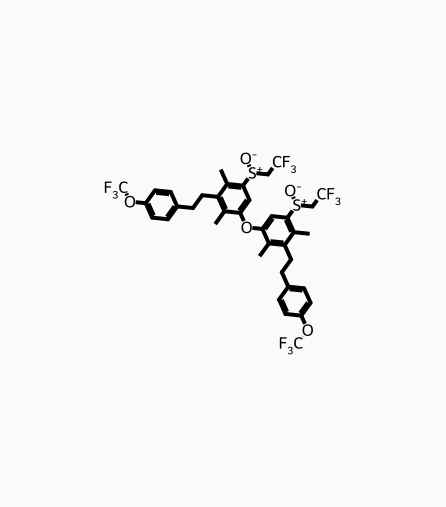 Cc1c(Oc2cc([S+]([O-])CC(F)(F)F)c(C)c(CCc3ccc(OC(F)(F)F)cc3)c2C)cc([S+]([O-])CC(F)(F)F)c(C)c1CCc1ccc(OC(F)(F)F)cc1